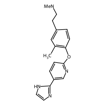 CNCCc1ccc(Oc2ccc(-c3ncc[nH]3)cn2)c(C)c1